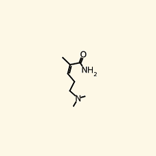 CC(=CCCN(C)C)C(N)=O